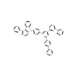 c1ccc(-c2ccc(-c3cc(-c4cccc5c4sc4ccccc45)cc(-c4ccc(-n5c6ccccc6c6c7c(ccc65)sc5ccccc57)cc4)n3)cc2)cc1